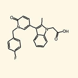 Cc1c(-c2ccc(=O)n(Cc3ccc(F)cc3)c2)c2ccccc2n1CC(=O)O